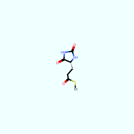 CCSC(=O)CC[C@H]1NC(=O)NC1=O